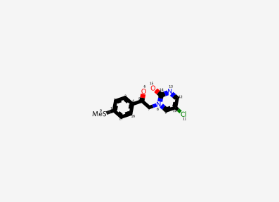 CSc1ccc(C(=O)Cn2cc(Cl)cnc2=O)cc1